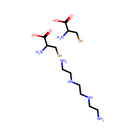 NC(CS)C(=O)O.NC(CS)C(=O)O.NCCNCCNCCN